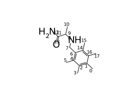 Cc1c(C)c(C)c(CNC(C)C(N)=O)c(C)c1C